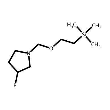 C[Si](C)(C)CCOCN1CCC(F)C1